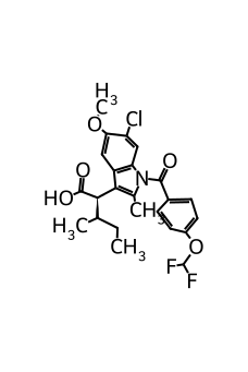 CCC(C)[C@@H](C(=O)O)c1c(C)n(C(=O)c2ccc(OC(F)F)cc2)c2cc(Cl)c(OC)cc12